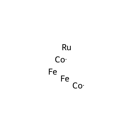 [Co].[Co].[Fe].[Fe].[Ru]